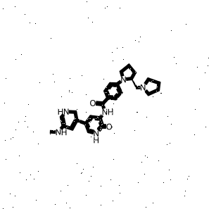 CNC1=CNCC(c2c[nH]c(=O)c(NC(=O)c3ccc(N4CCC[C@H]4CN4CCCC4)cc3)c2)=C1